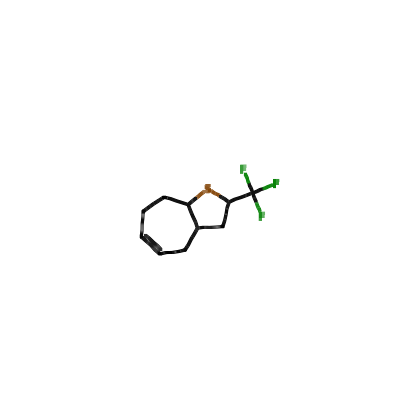 FC(F)(F)C1CC2CC=CCCC2S1